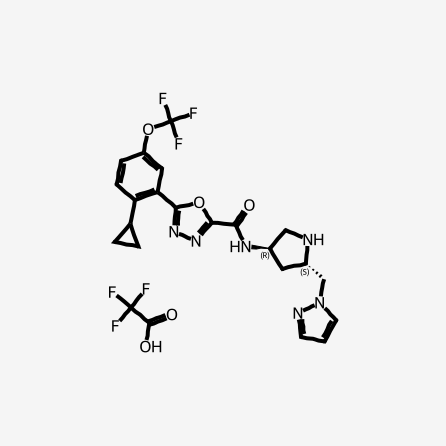 O=C(N[C@H]1CN[C@H](Cn2cccn2)C1)c1nnc(-c2cc(OC(F)(F)F)ccc2C2CC2)o1.O=C(O)C(F)(F)F